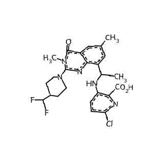 Cc1cc(C(C)Nc2ccc(Cl)nc2C(=O)O)c2nc(N3CCC(C(F)F)CC3)n(C)c(=O)c2c1